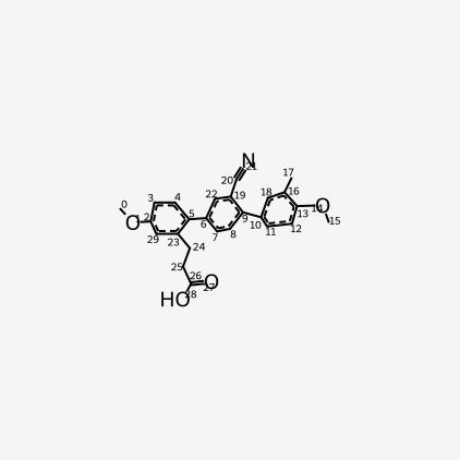 COc1ccc(-c2ccc(-c3ccc(OC)c(C)c3)c(C#N)c2)c(CCC(=O)O)c1